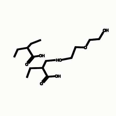 CCC(CC)C(=O)O.CCC(CC)C(=O)O.OCCOCCO